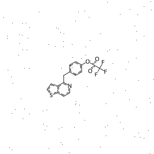 O=S(=O)(Oc1ccc(Cc2nccc3sccc23)cc1)C(F)(F)F